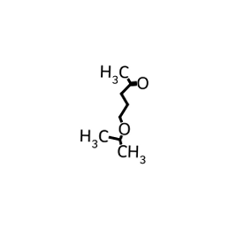 CC(=O)CCCOC(C)C